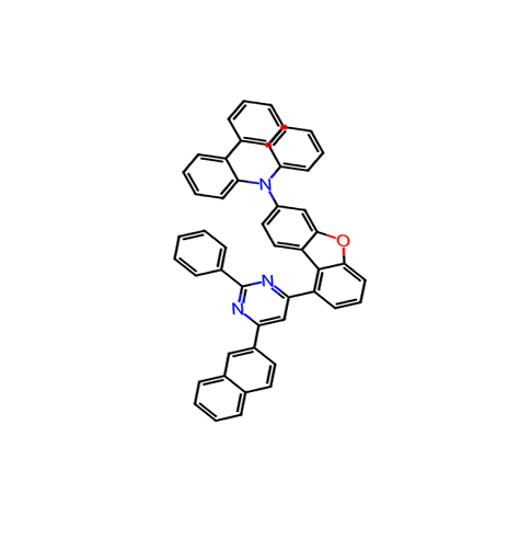 c1ccc(-c2nc(-c3ccc4ccccc4c3)cc(-c3cccc4oc5cc(N(c6ccccc6)c6ccccc6-c6ccccc6)ccc5c34)n2)cc1